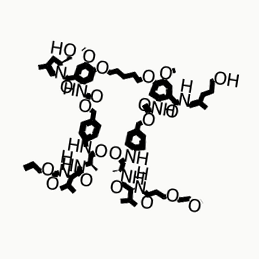 C=CCOC(=O)N[C@@H](C(=O)N[C@H](C)C(=O)Nc1ccc(COC(=O)Nc2cc(OCCCCCOc3cc(NC(=O)OCc4ccc(NC(=O)[C@@H](C)NC(=O)[C@H](NC(=O)CCOCCOC)C(C)C)cc4)c(C(=O)N/C=C(/C)CCCO)cc3OC)c(OC)cc2C(=O)N2C=C(C)C[C@H]2CO)cc1)C(C)C